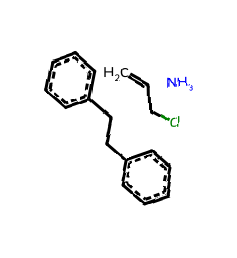 C=CCCl.N.c1ccc(CCc2ccccc2)cc1